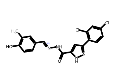 Cc1cc(/C=N/NC(=O)c2cc(-c3ccc(Cl)cc3Cl)n[nH]2)ccc1O